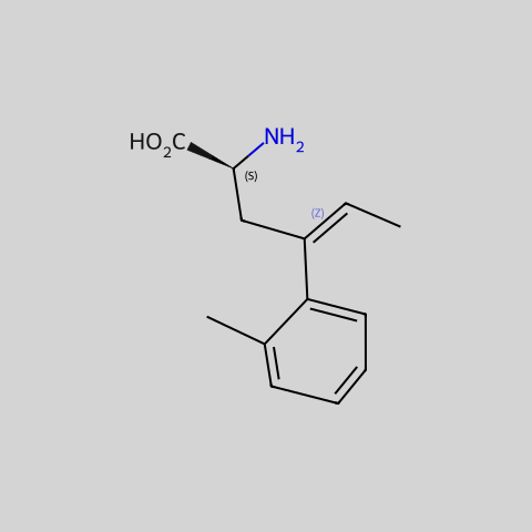 C/C=C(/C[C@H](N)C(=O)O)c1ccccc1C